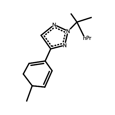 CCCC(C)(C)n1ncc(C2=CCC(C)C=C2)n1